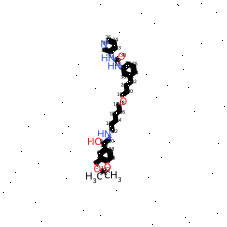 CC1(C)OCc2cc([C@@H](O)CNCCCCCCOCCCCc3cccc(NC(=O)Nc4cccnc4)c3)ccc2O1